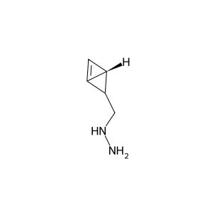 NNCC1C2=C[C@@H]21